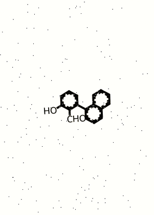 O=Cc1c(O)cccc1-c1cccc2ccccc12